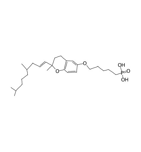 CC(C)CCCC(C)C/C=C/C1(C)CCc2cc(OCCCCCP(=O)(O)O)ccc2O1